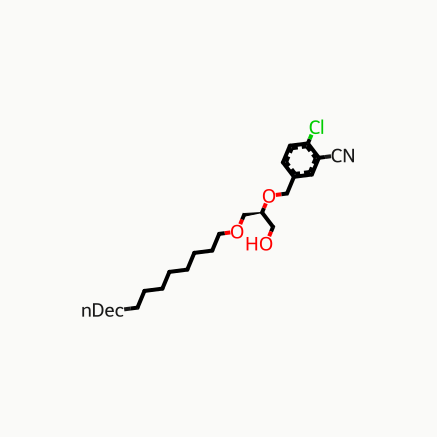 CCCCCCCCCCCCCCCCCCOC[C@H](CO)OCc1ccc(Cl)c(C#N)c1